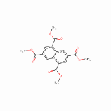 COC(=O)c1cc(C(=O)OC)c2cc(C(=O)OC)cc(C(=O)OC)c2c1